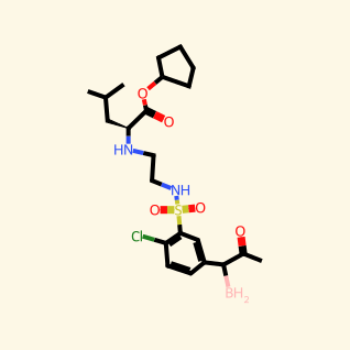 BC(C(C)=O)c1ccc(Cl)c(S(=O)(=O)NCCN[C@@H](CC(C)C)C(=O)OC2CCCC2)c1